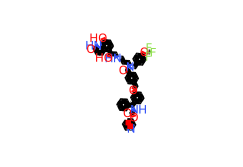 O=C(N[C@@H](c1ccccc1)c1cccc(OCc2ccc(C(=O)N(CCCNCC(O)c3ccc(O)c4[nH]c(=O)ccc34)Cc3ccc(OC(F)(F)F)cc3)cc2)c1)OC1CN2CCC1CC2